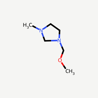 COCN1CCN(C)C1